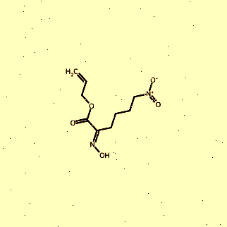 C=CCOC(=O)/C(CCCC[N+](=O)[O-])=N/O